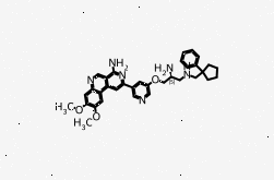 COc1cc2ncc3c(N)nc(-c4cncc(OC[C@@H](N)CNCC5(c6ccccc6)CCCC5)c4)cc3c2cc1OC